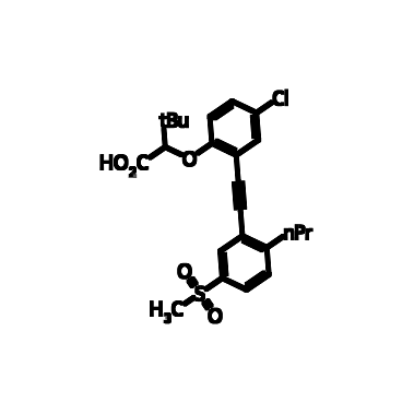 CCCc1ccc(S(C)(=O)=O)cc1C#Cc1cc(Cl)ccc1OC(C(=O)O)C(C)(C)C